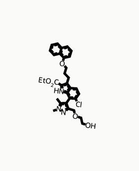 CCOC(=O)c1[nH]c2c(-c3c(COCCO)nn(C)c3C)c(Cl)ccc2c1CCCOc1cccc2ccccc12